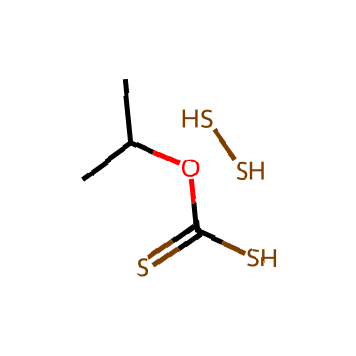 CC(C)OC(=S)S.SS